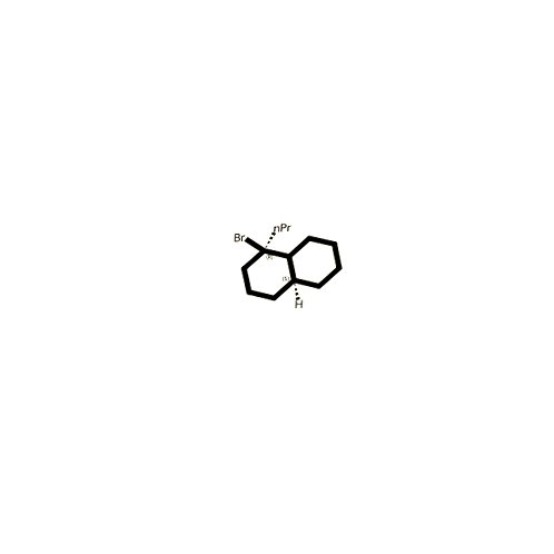 CCC[C@@]1(Br)CCC[C@@H]2CCCCC21